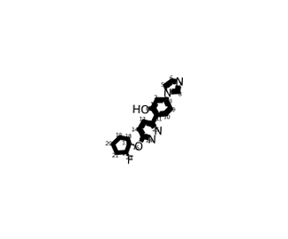 Oc1cc(-n2ccnc2)ccc1-c1ccc(O[C@H]2CCCC[C@@H]2F)nn1